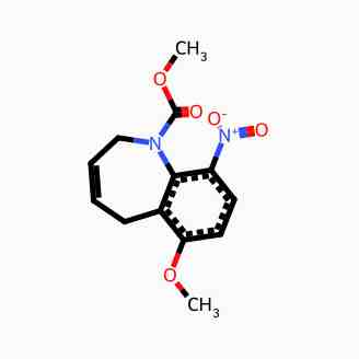 COC(=O)N1CC=CCc2c(OC)ccc([N+](=O)[O-])c21